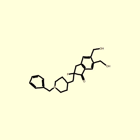 O=C1c2cc(CO)c(CO)cc2CC1(F)CC1CCN(Cc2ccccc2)CC1